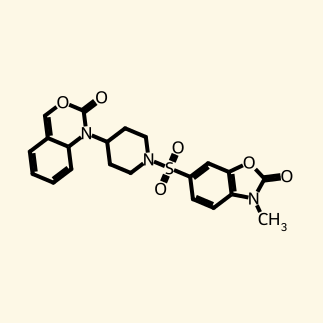 Cn1c(=O)oc2cc(S(=O)(=O)N3CCC(N4C(=O)OC=C5C=CC=CC54)CC3)ccc21